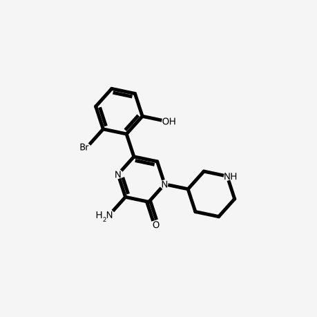 Nc1nc(-c2c(O)cccc2Br)cn(C2CCCNC2)c1=O